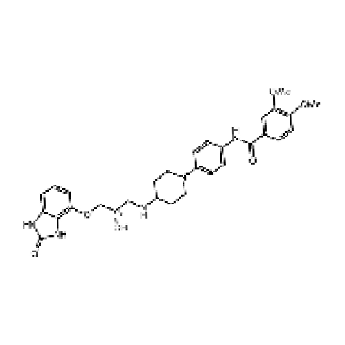 COc1ccc(C(=O)Nc2ccc(N3CCC(NC[C@H](O)COc4cccc5[nH]c(=O)[nH]c45)CC3)cc2)cc1OC